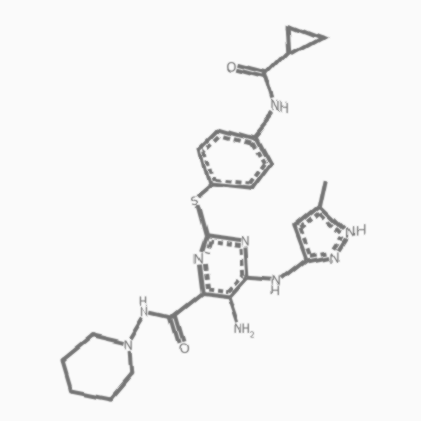 Cc1cc(Nc2nc(Sc3ccc(NC(=O)C4CC4)cc3)nc(C(=O)NN3CCCCC3)c2N)n[nH]1